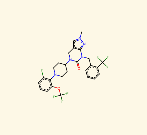 Cn1cc2c(n1)N(Cc1ccccc1C(F)(F)F)C(=O)N(C1CCN(c3c(F)cccc3OC(F)(F)F)CC1)C2